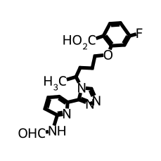 CC(CCCOc1cc(F)ccc1C(=O)O)n1cnnc1-c1cccc(NC=O)n1